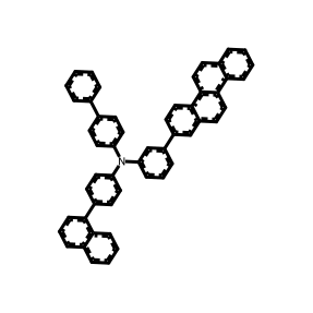 c1ccc(-c2ccc(N(c3ccc(-c4cccc5ccccc45)cc3)c3cccc(-c4ccc5c(ccc6c7ccccc7ccc56)c4)c3)cc2)cc1